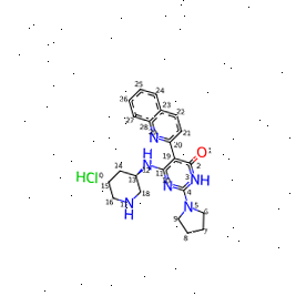 Cl.O=c1[nH]c(N2CCCC2)nc(N[C@@H]2CCCNC2)c1-c1ccc2ccccc2n1